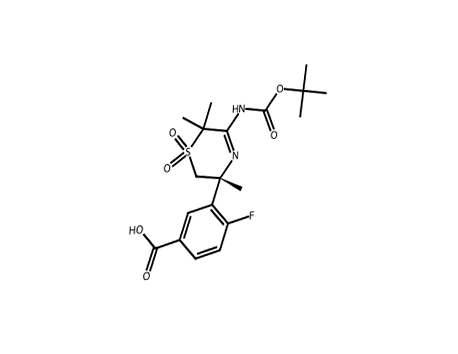 CC(C)(C)OC(=O)NC1=N[C@](C)(c2cc(C(=O)O)ccc2F)CS(=O)(=O)C1(C)C